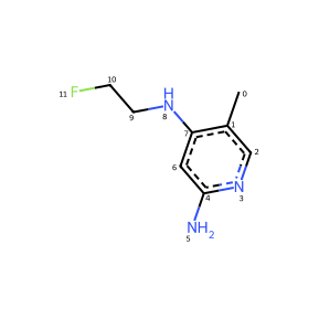 Cc1cnc(N)cc1NCCF